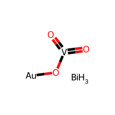 [BiH3].[O]=[V](=[O])[O][Au]